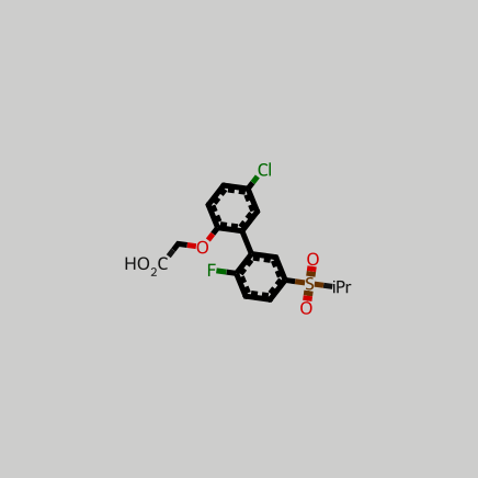 CC(C)S(=O)(=O)c1ccc(F)c(-c2cc(Cl)ccc2OCC(=O)O)c1